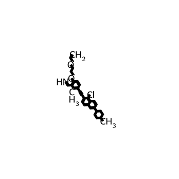 C=CCOCCCOc1ccc(C#Cc2ccc3cc(C4CCC(C)CC4)ccc3c2Cl)c(C)c1C=N